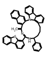 C=C1/N=C(/c2cccc3c2sc2ccccc23)NC(c2ccccc2)CCCc2cccc3c4ccccc4n(c23)-c2cc3ccccc3cc21